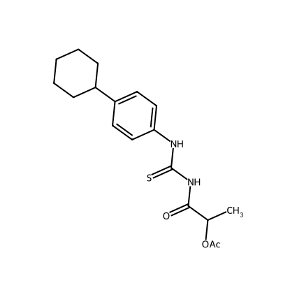 CC(=O)OC(C)C(=O)NC(=S)Nc1ccc(C2CCCCC2)cc1